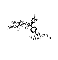 COC(=O)c1sc(NC(=O)C(c2ccc(/C(N)=N/N(C)N)cc2)C2CCC(F)(F)C2)nc1C(C)(C)C